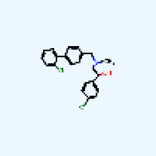 CN(Cc1ccc(-c2ccccc2Cl)cc1)CC(O)c1ccc(Cl)cc1